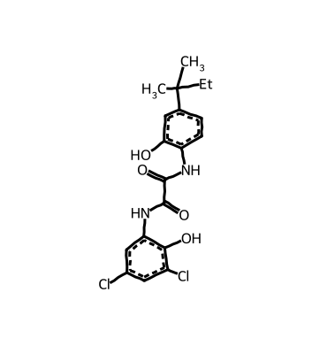 CCC(C)(C)c1ccc(NC(=O)C(=O)Nc2cc(Cl)cc(Cl)c2O)c(O)c1